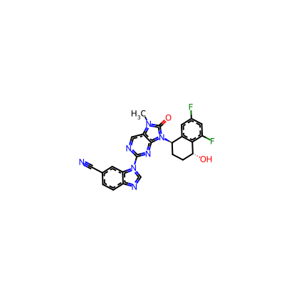 Cn1c(=O)n([C@@H]2CC[C@@H](O)c3c(F)cc(F)cc32)c2nc(-n3cnc4ccc(C#N)cc43)ncc21